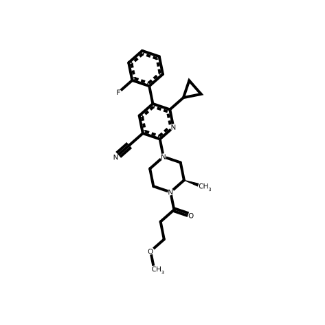 COCCC(=O)N1CCN(c2nc(C3CC3)c(-c3ccccc3F)cc2C#N)C[C@H]1C